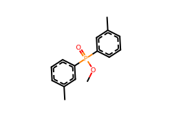 COP(=O)(c1cccc(C)c1)c1cccc(C)c1